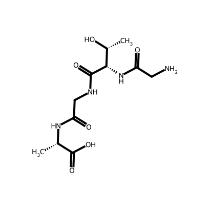 C[C@H](NC(=O)CNC(=O)[C@@H](NC(=O)CN)[C@@H](C)O)C(=O)O